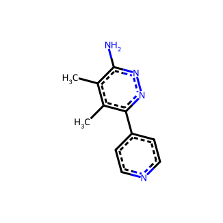 Cc1c(N)nnc(-c2ccncc2)c1C